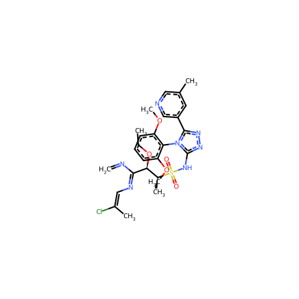 C=N/C(=N\C=C(/C)Cl)[C@@H](OCC)[C@H](C)S(=O)(=O)Nc1nnc(-c2cncc(C)c2)n1-c1c(OC)cccc1OC